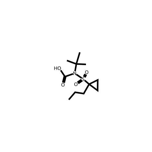 CCCC1(S(=O)(=O)N(C(=O)O)C(C)(C)C)CC1